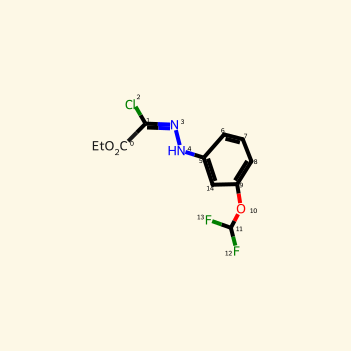 CCOC(=O)/C(Cl)=N\Nc1cccc(OC(F)F)c1